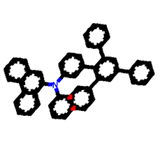 c1ccc(-c2cc(-c3ccccc3)c(-c3cccc(N(c4ccccc4)c4cc5ccccc5c5ccccc45)c3)c(-c3ccccc3)c2)cc1